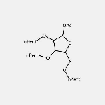 CCCCCOCC1OC(OC(C)=O)C(OCCCCC)C1OCCCCC